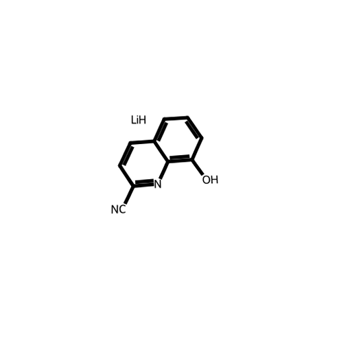 N#Cc1ccc2cccc(O)c2n1.[LiH]